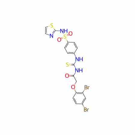 O=C(COc1ccc(Br)cc1Br)NC(=S)Nc1ccc(S(=O)(=O)Nc2nccs2)cc1